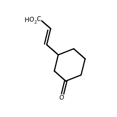 O=C(O)C=CC1CCCC(=O)C1